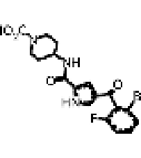 O=C(NC1CCN(C(=O)O)CC1)c1cc(C(=O)c2c(F)cccc2Br)c[nH]1